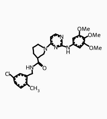 COc1cc(Nc2nccc(N3CCCC(C(=O)NCc4cc(Cl)ccc4C)C3)n2)cc(OC)c1OC